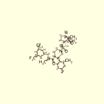 Cc1cc(F)ccc1[C@@H]1CN(S(=O)(=O)C[C@@]23CC[C@@H](CC2=O)C3(C)C)CC[C@H]1C(=O)N(C)Cc1cc(C(F)(F)F)cc(C(F)(F)F)c1